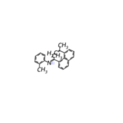 C=C(C)c1cccc2cccc(/C(C)=N/c3ccccc3C)c12